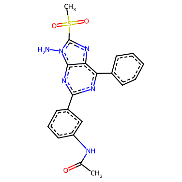 CC(=O)Nc1cccc(-c2nc(-c3ccccc3)c3nc(S(C)(=O)=O)n(N)c3n2)c1